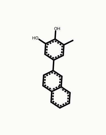 Cc1cc(-c2ccc3ccccc3c2)cc(O)c1O